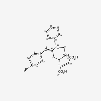 Fc1ccc(O[C@@H]2CCNC[C@H]2c2ccccc2)cc1.O=C(O)C=CC(=O)O